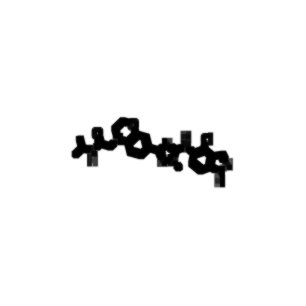 CC(C)NC(=O)CN1CCOc2cc(-c3nc(Nc4ccc5[nH]ncc5c4Cl)n(C)n3)ccc21